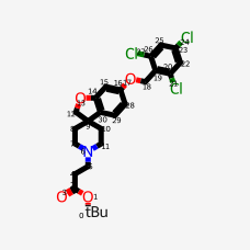 CC(C)(C)OC(=O)CCN1CCC2(CC1)COc1cc(OCc3c(Cl)cc(Cl)cc3Cl)ccc12